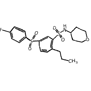 CCCc1ccc(S(=O)(=O)c2ccc(F)cc2)cc1S(=O)(=O)NC1CCOCC1